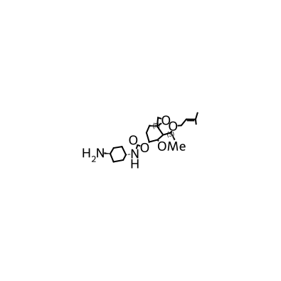 COC1C(OC(=O)N[C@H]2CC[C@H](N)CC2)CC[C@]2(CO2)C1[C@H](C)OCC=C(C)C